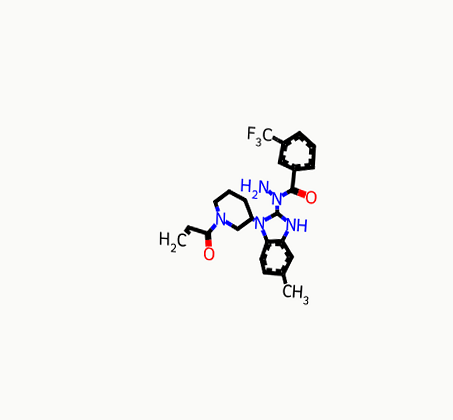 C=CC(=O)N1CCCC(N2c3ccc(C)cc3NC2N(N)C(=O)c2cccc(C(F)(F)F)c2)C1